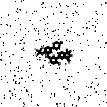 CN1CCN(c2ccc(OC(F)(F)F)c(Nc3ncc(Cl)c(-c4ccc5c(c4)C(=O)NC5(C)C)n3)c2)CC1